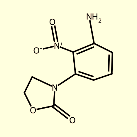 Nc1cccc(N2CCOC2=O)c1[N+](=O)[O-]